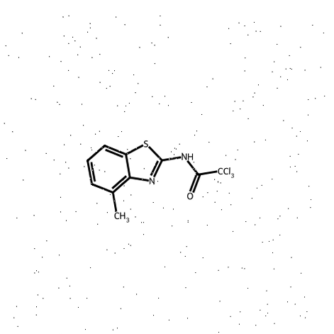 Cc1cccc2sc(NC(=O)C(Cl)(Cl)Cl)nc12